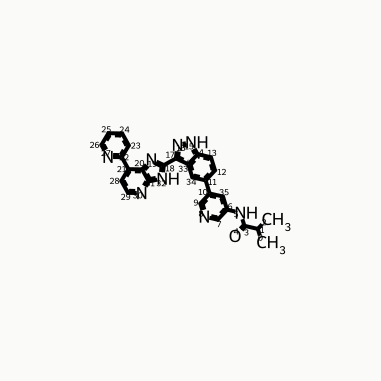 CC(C)C(=O)Nc1cncc(-c2ccc3[nH]nc(-c4nc5c(-c6ccccn6)ccnc5[nH]4)c3c2)c1